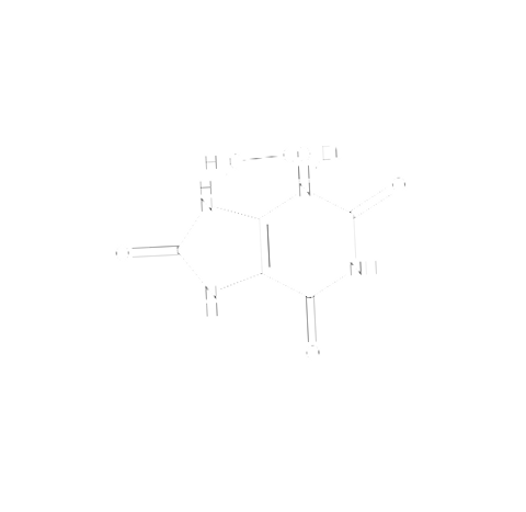 CCOC(C)=O.O=c1[nH]c(=O)c2[nH]c(=O)[nH]c2[nH]1